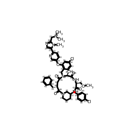 COC[C@@H]1NC(=O)[C@H](C)N(Cc2ccc(Cl)cc2Oc2ccc(-c3cnc(CN(C)C)n3C)nc2)C(=O)C[C@@H](Cc2ccccc2)C(=O)N2CCC[C@@](Cc3ccc(Cl)cc3)(C2)NC1=O